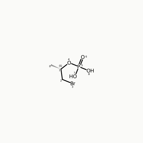 C[C@@H](CBr)OP(=O)(O)O